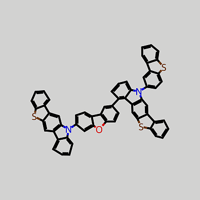 c1ccc2c(c1)sc1ccc(-n3c4cc5c(cc4c4c(-c6ccc7oc8cc(-n9c%10ccccc%10c%10cc%11sc%12ccccc%12c%11cc%109)ccc8c7c6)cccc43)sc3ccccc35)cc12